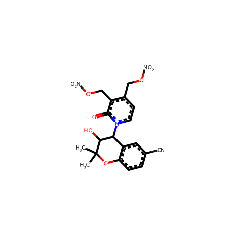 CC1(C)Oc2ccc(C#N)cc2C(n2ccc(CO[N+](=O)[O-])c(CO[N+](=O)[O-])c2=O)C1O